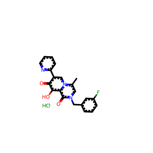 Cc1cn(Cc2cccc(F)c2)c(=O)c2c(O)c(=O)c(-c3ccccn3)cn12.Cl